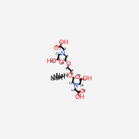 O=C(O)CN(CCOCCOCCN(CC(=O)O)CC(=O)O)CC(=O)O.[NaH].[NaH].[NaH]